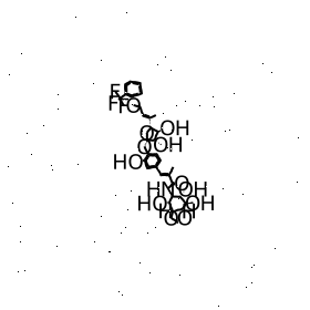 CC(=Cc1ccc(O[C@@H]2O[C@H](C(C)=CCOc3ccccc3C(F)(F)F)[C@@H](O)[C@@H]2O)c(O)c1)C(=O)N[C@@H]1[C@H](O)[C@@H](O)[C@H]2OCO[C@H]2[C@@H]1O